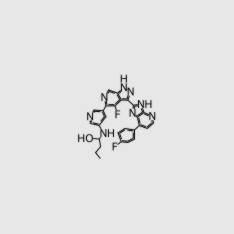 CCCC(O)Nc1cncc(-c2ncc3[nH]nc(-c4nc5c(-c6ccc(F)cc6)ccnc5[nH]4)c3c2F)c1